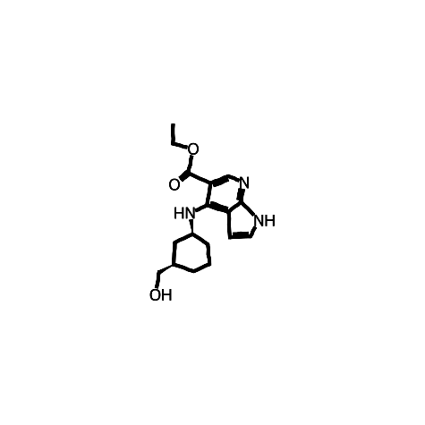 CCOC(=O)c1cnc2[nH]ccc2c1N[C@H]1CCC[C@@H](CO)C1